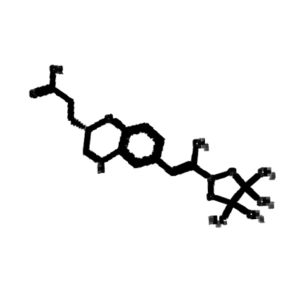 C/C(=C\c1ccc2c(c1)NC[C@H](CCC(=O)O)O2)B1OC(C)(C)C(C)(C)O1